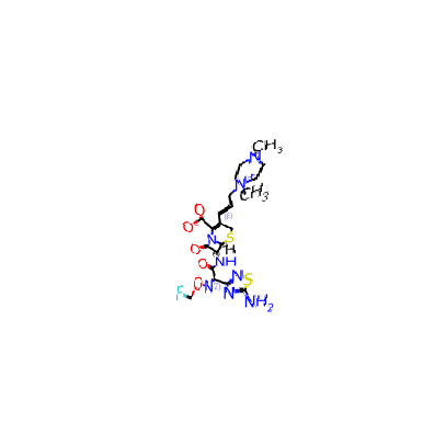 CN1CC[N+](C)(C/C=C/C2=C(C(=O)[O-])N3C(=O)[C@@H](NC(=O)/C(=N\OCF)c4nsc(N)n4)[C@@H]3SC2)CC1